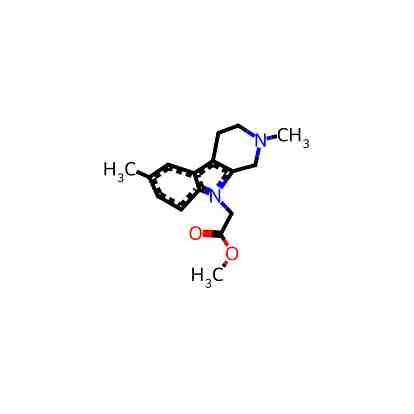 COC(=O)Cn1c2c(c3cc(C)ccc31)CCN(C)C2